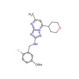 COc1ccc(F)c(CNc2nc3nc(C)cc(C4CCOCC4)n3n2)c1